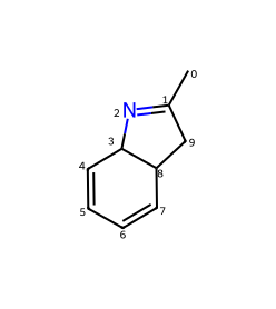 CC1=NC2C=CC=CC2C1